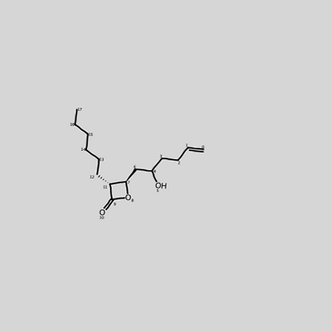 C=CCCC(O)C[C@H]1OC(=O)[C@@H]1CCCCCC